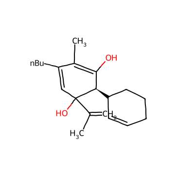 C=C(C)C1(O)C=C(CCCC)C(C)=C(O)[C@H]1C1C=CCCC1